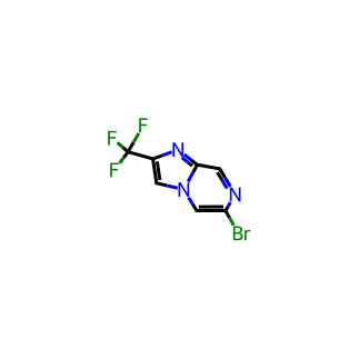 FC(F)(F)c1cn2cc(Br)ncc2n1